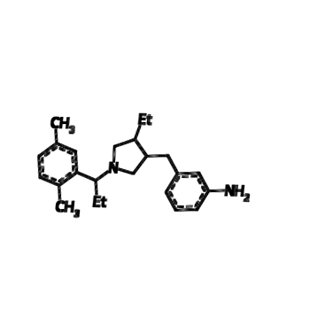 CCC1CN(C(CC)c2cc(C)ccc2C)CC1Cc1cccc(N)c1